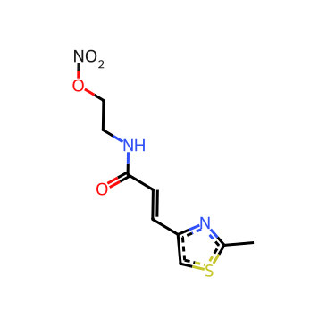 Cc1nc(C=CC(=O)NCCO[N+](=O)[O-])cs1